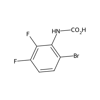 O=C(O)Nc1c(Br)ccc(F)c1F